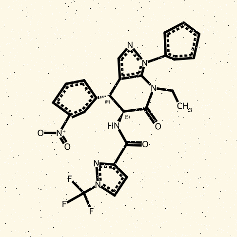 CCN1C(=O)[C@@H](NC(=O)c2ccn(C(F)(F)F)n2)[C@H](c2cccc([N+](=O)[O-])c2)c2cnn(-c3ccccc3)c21